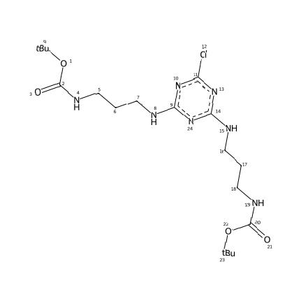 CC(C)(C)OC(=O)NCCCNc1nc(Cl)nc(NCCCNC(=O)OC(C)(C)C)n1